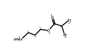 CCCCCCCCCOC(=O)C(Br)CC